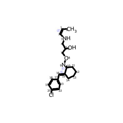 C/C=C\NCC(O)CO/N=C1\CCCC\C1=C/c1ccc(Cl)cc1